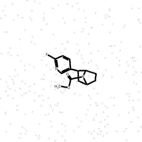 COC(=O)N1C2CCC1C(c1ccc(F)nc1)C2